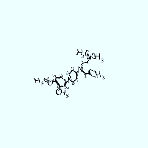 CCN(CCN(C)C)C1CCN(c2ccc(OC)c(C)c2)CC1